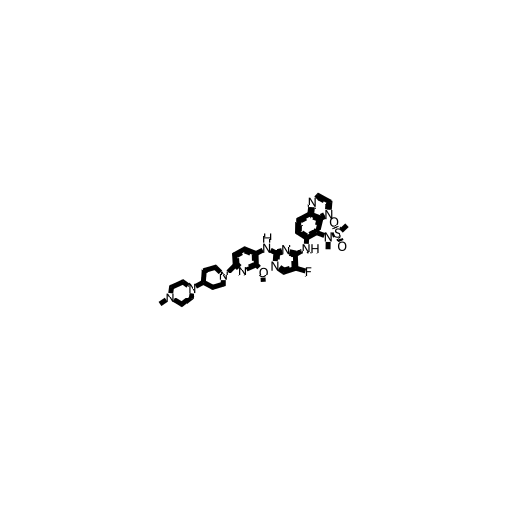 COc1nc(N2CCC(N3CCN(C)CC3)CC2)ccc1Nc1ncc(F)c(Nc2ccc3nccnc3c2N(C)S(C)(=O)=O)n1